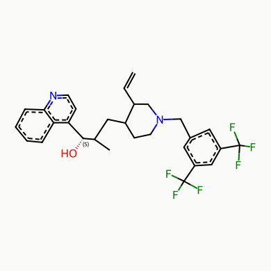 C=CC1CN(Cc2cc(C(F)(F)F)cc(C(F)(F)F)c2)CCC1CC(C)[C@H](O)c1ccnc2ccccc12